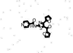 O=C(Nc1nc(-c2ccco2)c(C(=O)c2ccco2)s1)c1ccncc1